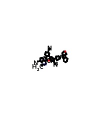 C=C/C=C\c1c(C)n(-c2ccc(C#N)cc2-c2ccc(C#N)c(-c3ccc(-n4c5c(c6ccccc64)C=CCC5)cc3)c2)c2ccc(C#N)cc12